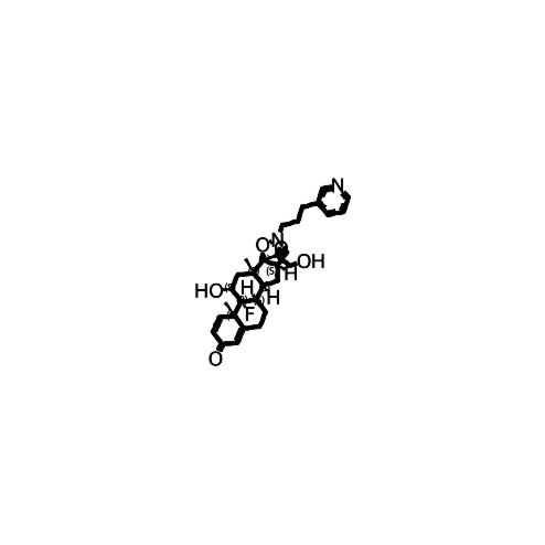 C[C@]12C=CC(=O)C=C1CC[C@H]1[C@@H]3C[C@H]4CN(CCCc5cccnc5)O[C@@]4(C(=O)CO)[C@@]3(C)C[C@H](O)[C@@]12F